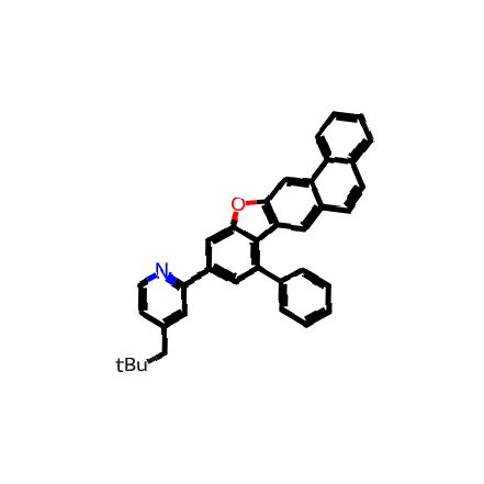 CC(C)(C)Cc1ccnc(-c2cc(-c3ccccc3)c3c(c2)oc2cc4c(ccc5ccccc54)cc23)c1